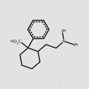 CC(C)N(CCC1CCCCC1(C(=O)O)c1ccccc1)C(C)C